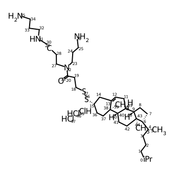 CC(C)CCC[C@@H](C)[C@H]1CC[C@H]2[C@@H]3CC=C4C[C@@H](SSCCC(=O)N(CCCN)CCCCNCCCN)CC[C@]4(C)[C@H]3CC[C@]12C.Cl.Cl.Cl